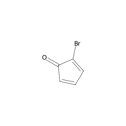 O=C1C=CC=C1Br